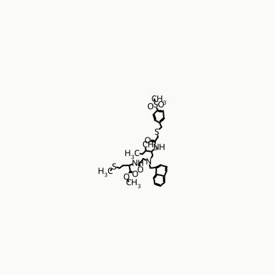 CCC(C)C(CN(CC(=O)NC(CCSC)C(=O)OC)Cc1cccc2ccccc12)NC(=O)CSCc1ccc(S(C)(=O)=O)cc1